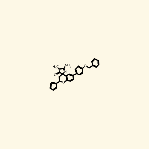 CN1C(=O)C2(CC(c3ccccc3)Oc3ccc(-c4ccc(OCc5ccccc5)cc4)cc32)N=C1N